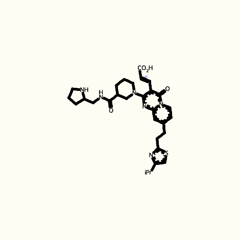 CC(C)c1csc(CCc2ccn3c(=O)c(/C=C/C(=O)O)c(N4CCCC(C(=O)NCC5CCCN5)C4)nc3c2)n1